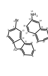 Brc1ccc2oc3ccccc3c2c1.Nc1ccc2ccccc2c1